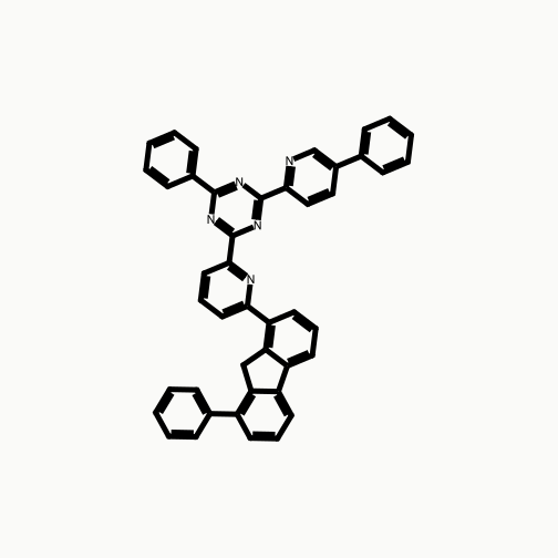 c1ccc(-c2ccc(-c3nc(-c4ccccc4)nc(-c4cccc(-c5cccc6c5Cc5c(-c7ccccc7)cccc5-6)n4)n3)nc2)cc1